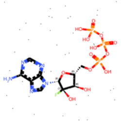 Nc1ncnc2c1ncn2[C@@H]1O[C@H](COP(=O)(O)OP(=O)(O)OP(=O)(O)O)[C@@H](O)[C@]1(O)F